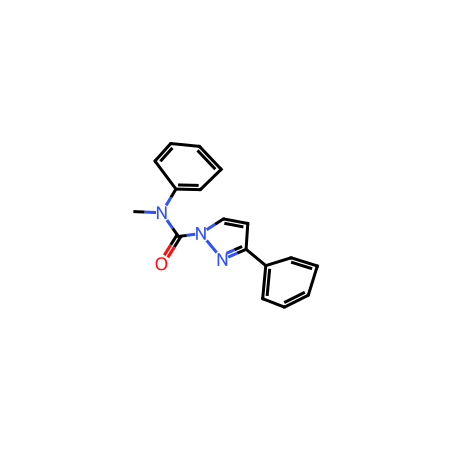 CN(C(=O)n1ccc(-c2ccccc2)n1)c1ccccc1